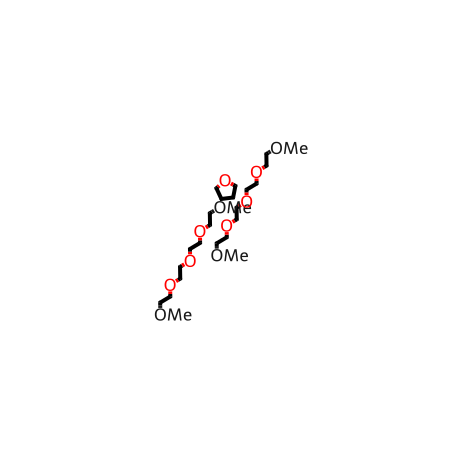 C1CCOC1.COCCOCCOCCOCCOC.COCCOCCOCCOCCOC